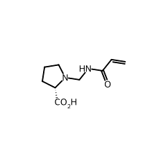 C=CC(=O)NCN1CCC[C@H]1C(=O)O